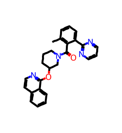 Cc1cccc(-c2ncccn2)c1C(=O)N1CCCC(Oc2nccc3ccccc23)C1